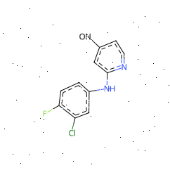 O=Nc1ccnc(Nc2ccc(F)c(Cl)c2)c1